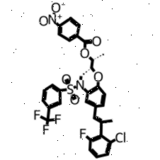 C/C(=C\c1ccc2c(c1)N(S(=O)(=O)c1cccc(C(F)(F)F)c1)C[C@H]([C@@H](C)OC(=O)c1ccc([N+](=O)[O-])cc1)O2)c1c(F)cccc1Cl